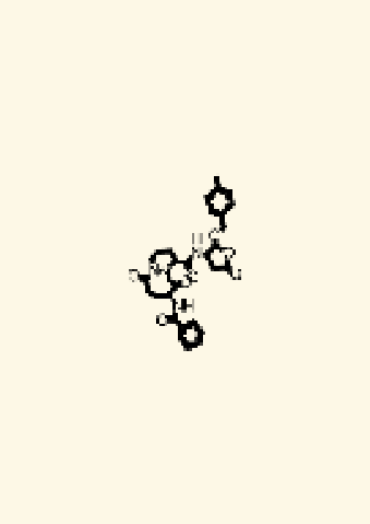 Cc1ccc(COC2OC(=O)C[C@@H]2NC(=O)[C@@H]2CCCN3C(=O)CC[C@H](NC(=O)c4ccccc4)C(=O)N23)cc1